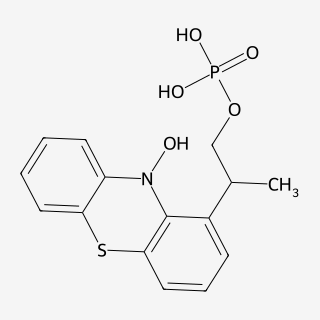 CC(COP(=O)(O)O)c1cccc2c1N(O)c1ccccc1S2